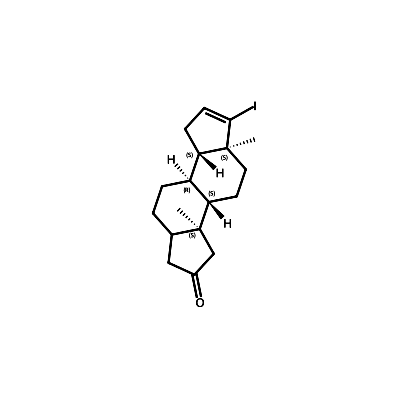 C[C@]12CC(=O)CC1CC[C@@H]1[C@@H]2CC[C@]2(C)C(I)=CC[C@@H]12